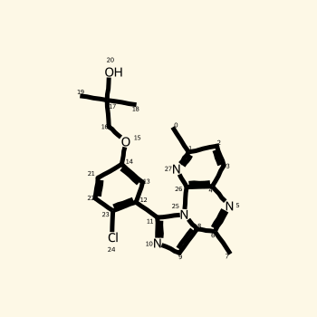 Cc1ccc2nc(C)c3cnc(-c4cc(OCC(C)(C)O)ccc4Cl)n3c2n1